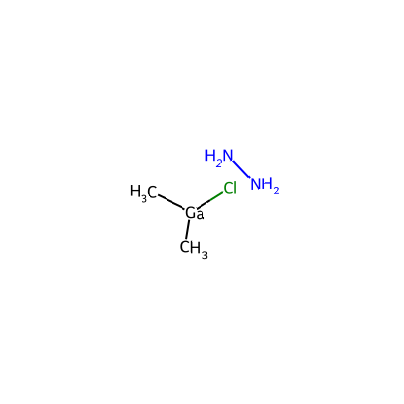 NN.[CH3][Ga]([CH3])[Cl]